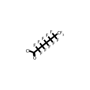 O=C(Cl)C(F)(F)C(F)(F)C(F)(F)C(F)(F)C(F)(F)C(F)(F)F